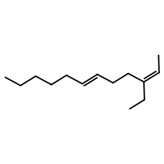 CC=C(CC)CCC=CCCCCC